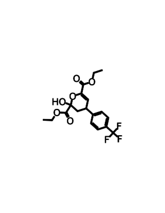 CCOC(=O)C1=CC(c2ccc(C(F)(F)F)cc2)CC(O)(C(=O)OCC)O1